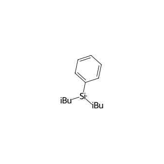 CCC(C)[Si](c1ccccc1)C(C)CC